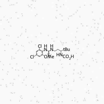 COc1cc(Cl)cc(Cl)c1NC(=S)NCCC(NC(=O)O)C(C)(C)C